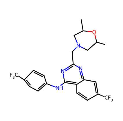 CC1CN(Cc2nc(Nc3ccc(C(F)(F)F)cc3)c3ccc(C(F)(F)F)cc3n2)CC(C)O1